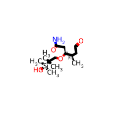 C[C@H](CC=O)[C@H](CC(N)=O)OCC(C)(C)[Si](C)(C)O